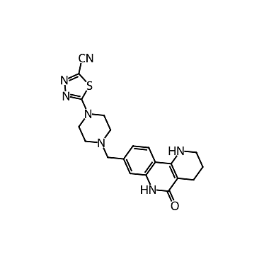 N#Cc1nnc(N2CCN(Cc3ccc4c5c(c(=O)[nH]c4c3)CCCN5)CC2)s1